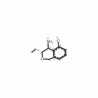 CC[C@H]1OCc2cccc(Cl)c2C1N